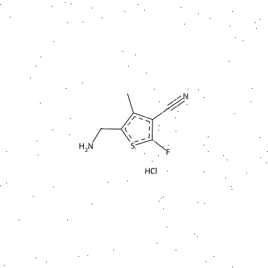 Cc1c(CN)sc(F)c1C#N.Cl